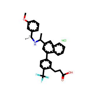 COc1cccc([C@@H](C)NC(C)c2cc(-c3ccc(C(F)(F)F)c(CCC(=O)O)c3)c3ccccc3c2)c1.Cl